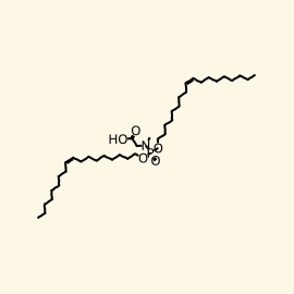 CCCCCCCC/C=C\CCCCCCCCOP(=O)(OCCCCCCCC/C=C\CCCCCCCC)N(C)CC(=O)O